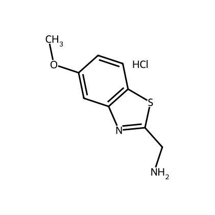 COc1ccc2sc(CN)nc2c1.Cl